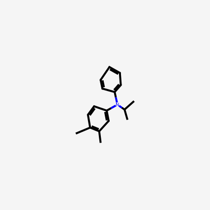 Cc1ccc(N(c2ccccc2)C(C)C)cc1C